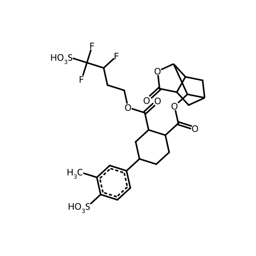 Cc1cc(C2CCC(C(=O)OC3C4CC5C(=O)OC3C5C4)C(C(=O)OCCC(F)C(F)(F)S(=O)(=O)O)C2)ccc1S(=O)(=O)O